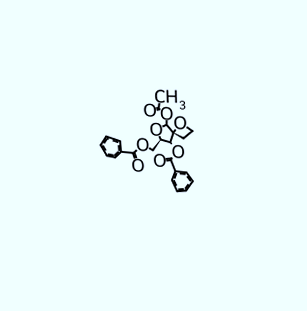 CC(=O)OC1O[C@H](COC(=O)c2ccccc2)[C@@H](OC(=O)c2ccccc2)[C@]12CCO2